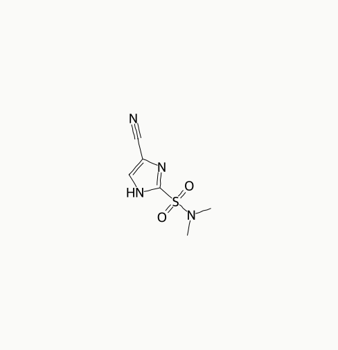 CN(C)S(=O)(=O)c1nc(C#N)c[nH]1